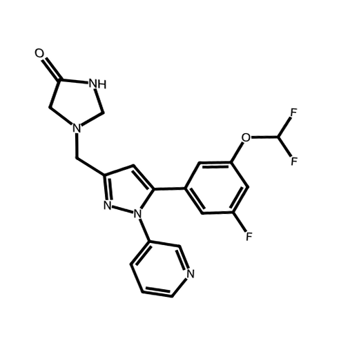 O=C1CN(Cc2cc(-c3cc(F)cc(OC(F)F)c3)n(-c3cccnc3)n2)CN1